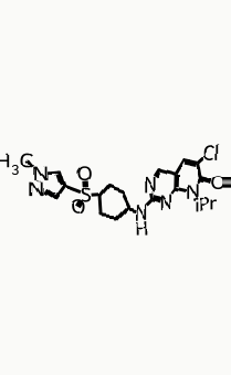 CC(C)n1c(=O)c(Cl)cc2cnc(NC3CCC(S(=O)(=O)c4cnn(C)c4)CC3)nc21